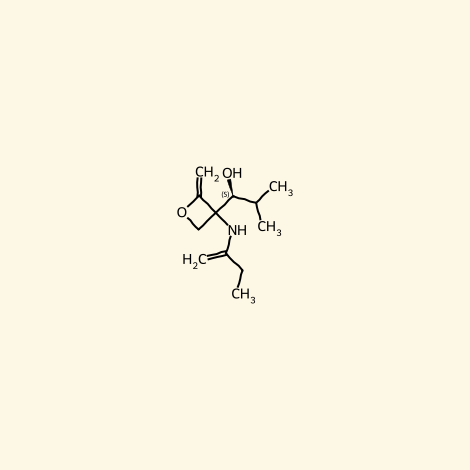 C=C(CC)NC1([C@@H](O)C(C)C)COC1=C